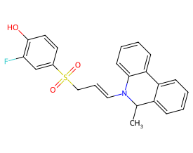 CC1c2ccccc2-c2ccccc2N1C=CCS(=O)(=O)c1ccc(O)c(F)c1